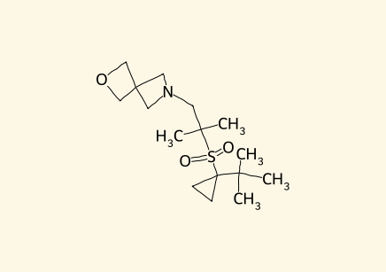 CC(C)(C)C1(S(=O)(=O)C(C)(C)CN2CC3(COC3)C2)CC1